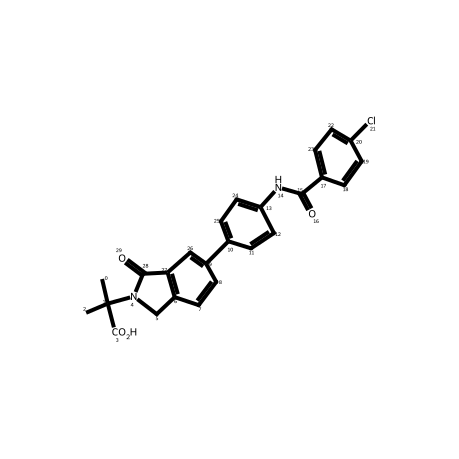 CC(C)(C(=O)O)N1Cc2ccc(-c3ccc(NC(=O)c4ccc(Cl)cc4)cc3)cc2C1=O